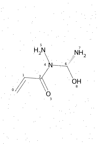 C=CC(=O)N(N)[C@H](N)O